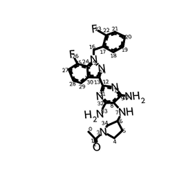 CC(=O)N1CCC(Nc2c(N)nc(-c3nn(Cc4ccccc4F)c4c(F)cccc34)nc2N)C1